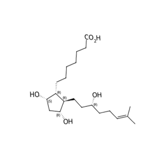 CC(C)=CCC[C@@H](O)CC[C@@H]1[C@@H](CCCCCCC(=O)O)[C@@H](O)C[C@H]1O